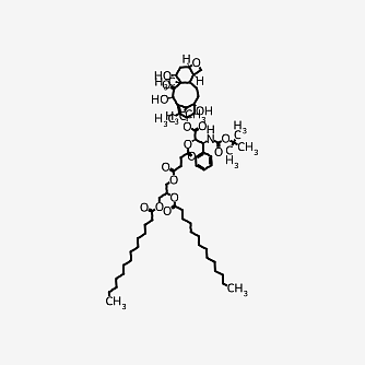 CCCCCCCCCCCCCC(=O)OCC(COC(=O)CCC(=O)O[C@@H](C(=O)O[C@H]1C[C@@]2(O)CCC3[C@@H]4CO[C@@H]4C[C@H](O)[C@@]3(C)C(=O)[C@H](O)C(=C1C)C2(C)C)[C@@H](NC(=O)OC(C)(C)C)c1ccccc1)OC(=O)CCCCCCCCCCCCC